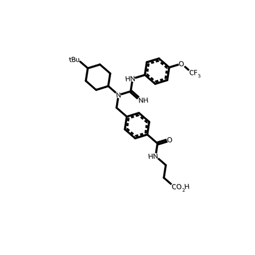 CC(C)(C)C1CCC(N(Cc2ccc(C(=O)NCCC(=O)O)cc2)C(=N)Nc2ccc(OC(F)(F)F)cc2)CC1